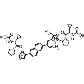 C=C/C(=C\c1[nH]c([C@@H]2CCCN2C(=O)[C@@H](NC(=O)OC)C2CC2)nc1C)c1ccc2cc(-c3cnc([C@@H]4CCCN4C(=O)[C@@H](NC(=O)OC)C4CC4)[nH]3)ccc2c1